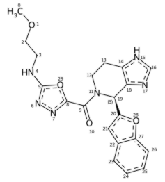 COCCNc1nnc(C(=O)N2CCc3[nH]cnc3[C@H]2c2cc3ccccc3o2)o1